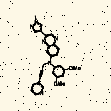 COc1cc(OC)cc(N(CC#Cc2cccnc2)c2ccc3ncc(-c4cnn(C)c4)nc3c2)c1